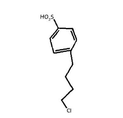 O=S(=O)(O)c1ccc(CCCCCl)cc1